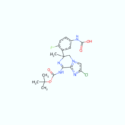 CC(C)(C)OC(=O)NC1=NC(C)(c2cc(NC(=O)O)ccc2F)Cn2cc(Cl)nc21